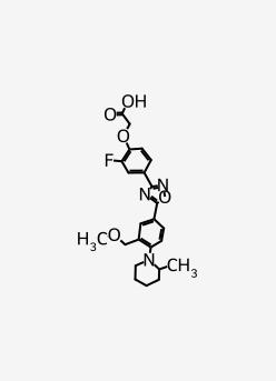 COCc1cc(-c2nc(-c3ccc(OCC(=O)O)c(F)c3)no2)ccc1N1CCCCC1C